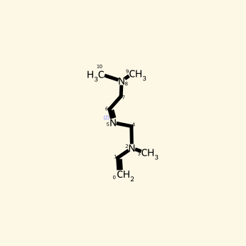 C=CN(C)C/N=C\CN(C)C